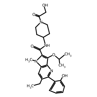 CCc1cc2c(nc1-c1ccccc1O)c(OC(C)C)c(C(=O)NC1CCN(C(=O)CO)CC1)n2C